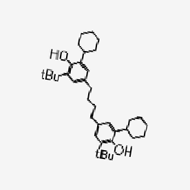 CC(C)(C)c1cc(CCCCc2cc(C3CCCCC3)c(O)c(C(C)(C)C)c2)cc(C2CCCCC2)c1O